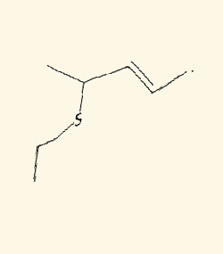 [CH2]C=CC(C)SCC